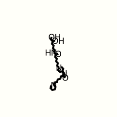 CN(C(=O)CCCCCN1CCCCC1)C1CCN(CCCCCC(=O)NCCCCC(O)CO)CC1